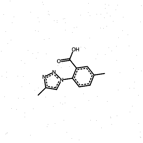 Cc1ccc(-n2cc(C)nn2)c(C(=O)O)c1